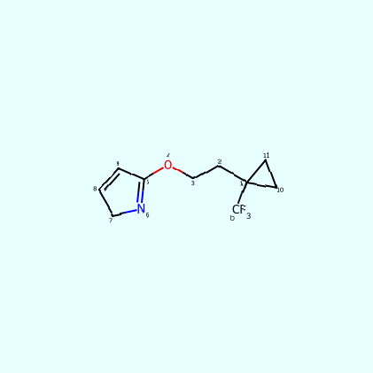 FC(F)(F)C1(CCOC2=NCC=C2)CC1